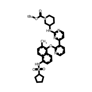 Cc1ccc2c(NS(=O)(=O)C3CCCC3)cccc2c1Oc1ncccc1-c1ccnc(NC2CCCN(C(=O)OC(C)(C)C)C2)n1